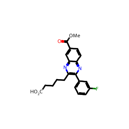 COC(=O)c1ccc2nc(-c3cccc(F)c3)c(CCCCC(=O)O)nc2c1